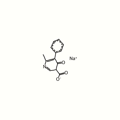 CC1=C(c2ccccc2)C(=O)C(C(=O)[O-])C=N1.[Na+]